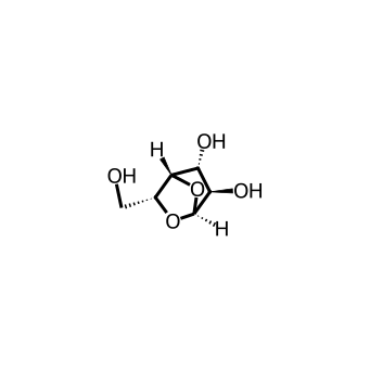 OC[C@H]1O[C@H]2O[C@H]1[C@H](O)[C@H]2O